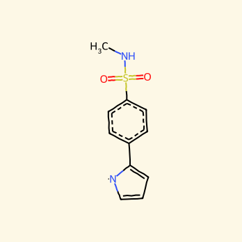 CNS(=O)(=O)c1ccc(C2=CC=C[N]2)cc1